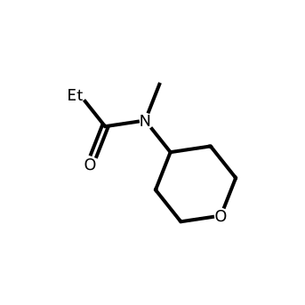 CCC(=O)N(C)C1CCOCC1